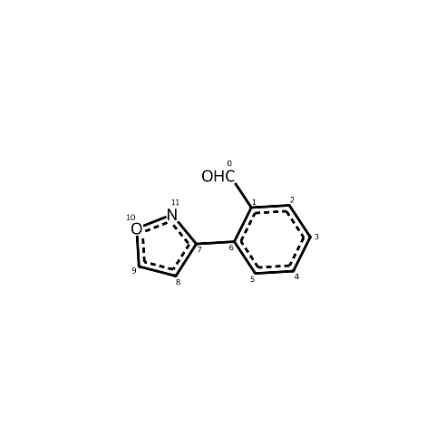 O=Cc1ccccc1-c1ccon1